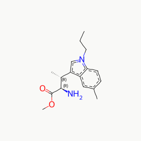 CCCn1cc([C@@H](C)[C@@H](N)C(=O)OC)c2cc(C)ccc21